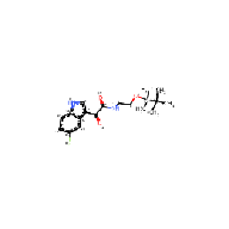 CC(C)(C)[Si](C)(C)OCCNC(=O)C(=O)c1c[nH]c2ccc(F)cc12